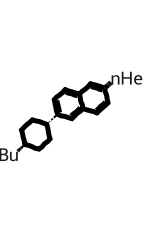 CCCCCCc1ccc2cc([C@H]3CC[C@H](CCCC)CC3)ccc2c1